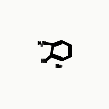 Nc1ccccc1S.[Na]